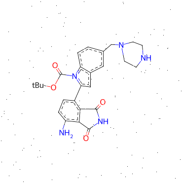 CC(C)(C)OC(=O)n1c(-c2ccc(N)c3c2C(=O)NC3=O)cc2cc(CN3CCNCC3)ccc21